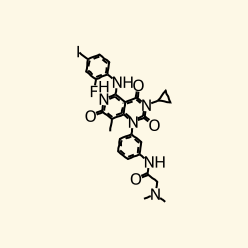 Cc1c(=O)[nH]c(Nc2ccc(I)cc2F)c2c(=O)n(C3CC3)c(=O)n(-c3cccc(NC(=O)CN(C)C)c3)c12